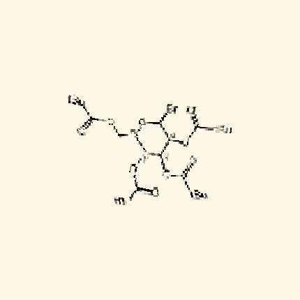 CC(C)(C)C(=O)OC[C@H]1OC(Br)[C@@H](OC(=O)C(C)(C)C)[C@@H](OC(=O)C(C)(C)C)[C@@H]1OC(=O)C(C)(C)C